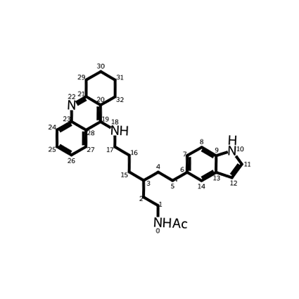 CC(=O)NCCC(C[CH]c1ccc2[nH]ccc2c1)CCCNc1c2c(nc3ccccc13)CCCC2